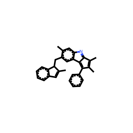 CC1=Cc2ccccc2C1Cc1cc2c(cc1C)N=C1C(C)=C(C)C(c3ccccc3)=C12